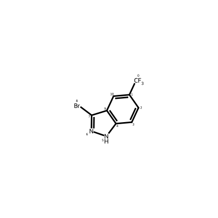 FC(F)(F)c1ccc2[nH]nc(Br)c2c1